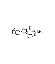 Nc1nc(N)c2c(OCC(O)c3ccc4c(c3)OCO4)cccc2n1